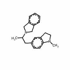 CC(Cc1ccc2c(c1)CCN2C)N1Cc2ccccc2C1